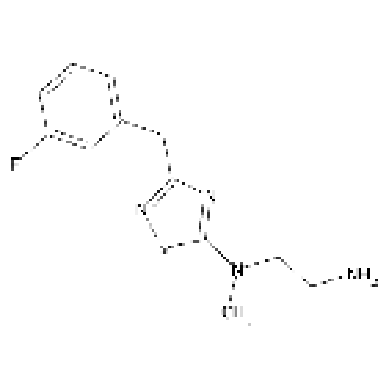 CN(CCN)c1nc(Cc2cccc(F)c2)ns1